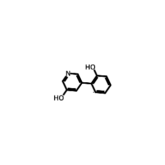 Oc1cncc(-c2[c]cccc2O)c1